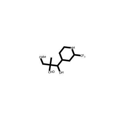 COCC(C)(C=O)C(O)C1CCNC(C(F)(F)F)C1